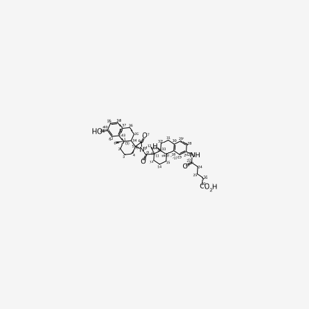 C[C@]12CCC[C@]3(C(=O)N3C(=O)[C@@]3(C)CCC[C@]4(C)c5cc(NC(=O)CCCC(=O)O)ccc5CC[C@@H]34)C1CCc1ccc(O)cc12